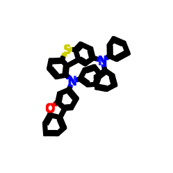 c1ccc(N(c2ccccc2)c2ccc3sc4cccc(N(c5ccccc5)c5ccc6c(c5)oc5ccccc56)c4c3c2)cc1